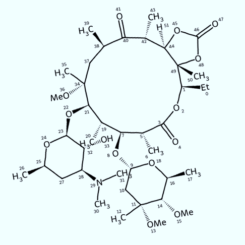 CC[C@H]1OC(=O)[C@H](C)[C@@H](O[C@H]2C[C@@](C)(OC)[C@@H](OC)[C@H](C)O2)[C@H](C)[C@@H](O[C@@H]2O[C@H](C)C[C@H](N(C)C)[C@H]2O)[C@](C)(OC)C[C@@H](C)C(=O)[C@H](C)[C@H]2OC(=O)O[C@@]21C